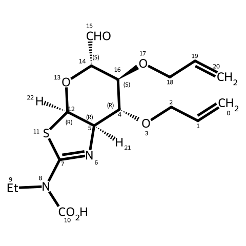 C=CCO[C@@H]1[C@H]2N=C(N(CC)C(=O)O)S[C@H]2O[C@H](C=O)[C@H]1OCC=C